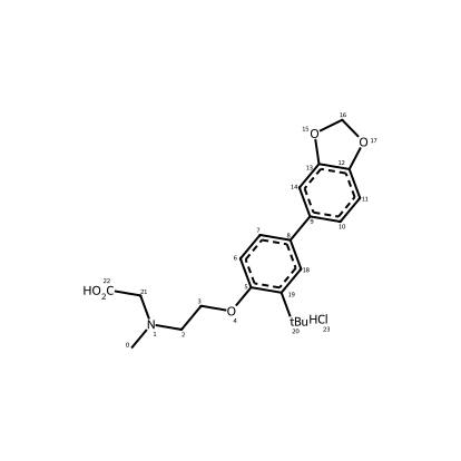 CN(CCOc1ccc(-c2ccc3c(c2)OCO3)cc1C(C)(C)C)CC(=O)O.Cl